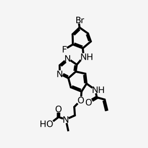 C=CC(=O)Nc1cc2c(Nc3ccc(Br)cc3F)ncnc2cc1OCCN(C)C(=O)O